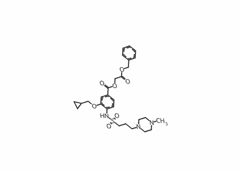 CN1CCN(CCCS(=O)(=O)Nc2ccc(C(=O)OCC(=O)OCc3ccccc3)cc2OCC2CC2)CC1